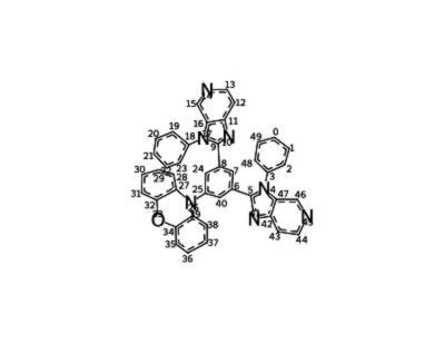 c1ccc(-n2c(-c3cc(-c4nc5ccncc5n4-c4ccccc4)cc(N4c5ccccc5Oc5ccccc54)c3)nc3ccncc32)cc1